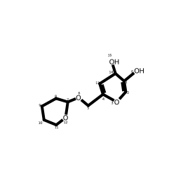 OC1=COC(COC2CCCCO2)=CC1O